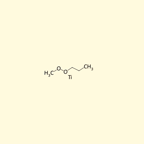 CCCOOC.[Ti]